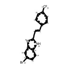 FC(F)(F)c1ccc(C=Cc2nc3cc(Br)ccc3[nH]2)cc1